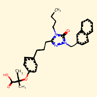 CCCCn1c(CCCc2ccc(OC(C)(C)C(=O)O)cc2)nn(Cc2ccc3ccccc3c2)c1=O